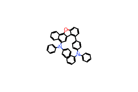 c1ccc(N(c2ccccc2)c2ccc(-c3cccc4oc5c6ccccc6c(N(c6ccccc6)c6ccccc6)cc5c34)cc2)cc1